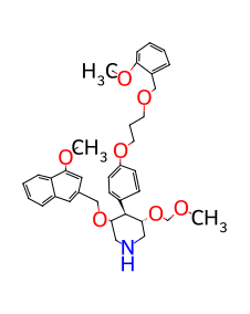 COCO[C@@H]1CNC[C@H](OCc2cc(OC)c3ccccc3c2)[C@H]1c1ccc(OCCCOCc2ccccc2OC)cc1